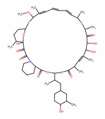 COC1CC2CCC(C)C(O)(O2)C(=O)C(=O)N2CCCCC2C(=O)OC(C(C)CC2CCC(O)C(C)C2)CC(=O)C(C)/C=C(\C)C(O)C(O)C(=O)C(C)CC(C)/C=C/C=C/C=C/1C